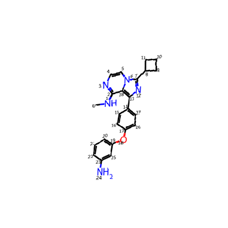 CNc1nccn2c(C3CCC3)nc(-c3ccc(Oc4cccc(N)c4)cc3)c12